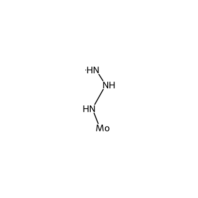 [NH]N[NH][Mo]